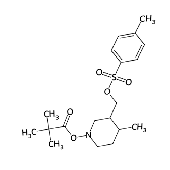 Cc1ccc(S(=O)(=O)OCC2CN(OC(=O)C(C)(C)C)CCC2C)cc1